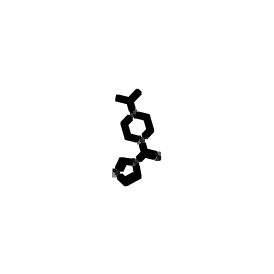 CC(C)N1CCN(C(=S)n2ccnc2)CC1